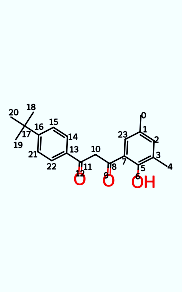 Cc1cc(C)c(O)c(C(=O)CC(=O)c2ccc(C(C)(C)C)cc2)c1